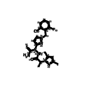 Cc1cc(C)n(C(C)C(=O)NN(C(N)=S)c2ccn(Cc3c(F)cccc3Cl)n2)n1